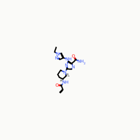 C=CC(=O)N[C@@H]1CCCN(c2cnc(C(N)=O)c(Nc3cnn(CC)c3)n2)[C@@H]1C